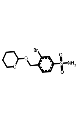 NS(=O)(=O)c1ccc(COC2CCCCO2)c(Br)c1